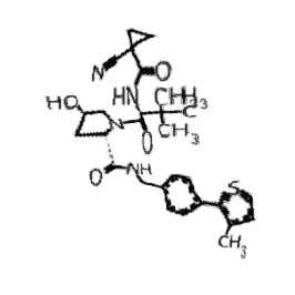 Cc1ccsc1-c1ccc(CNC(=O)[C@@H]2C[C@@H](O)CN2C(=O)[C@@H](NC(=O)C2(C#N)CC2)C(C)(C)C)cc1